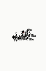 Cc1ccccc1C[C@H](NC(=O)[C@H](CCC(=O)OC(C)(C)C)NC(=O)[C@H](CC(=O)OC(C)(C)C)NC(=O)OC(C)(C)C)C(=O)N[C@H](C(=O)N[C@@H](CC(C)C)C(=O)NC(CCCBr)B1OC(C)(C)C(C)(C)O1)C(C)(C)C